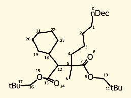 CCCCCCCCCCCCCCC(C)(C(=O)OCC(C)(C)C)C(C(=O)OCC(C)(C)C)C1CCCCC1